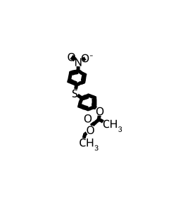 CCOC(=O)C(C)Oc1ccc(Sc2ccc([N+](=O)[O-])cc2)cc1